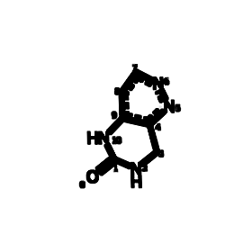 O=C1NCc2nnccc2N1